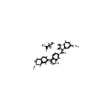 COc1ccc2c(c1)[C@]1(C[C@H]1c1ccc3c(-c4ccc5c(c4)CN(C)CC5)n[nH]c3c1)C(=O)N2.O=C(O)C(F)(F)F